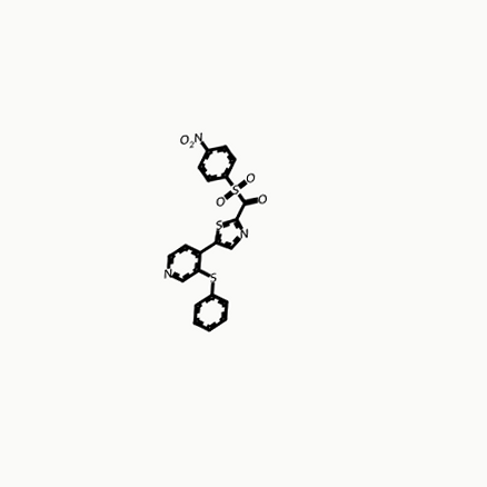 O=C(c1ncc(-c2ccncc2Sc2ccccc2)s1)S(=O)(=O)c1ccc([N+](=O)[O-])cc1